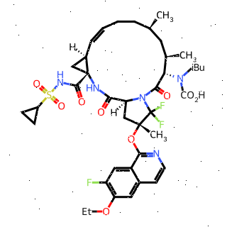 CCOc1cc2ccnc(O[C@]3(C)C[C@H]4C(=O)N[C@]5(C(=O)NS(=O)(=O)C6CC6)C[C@H]5/C=C\CC[C@@H](C)C[C@@H](C)[C@H](N(C(=O)O)C(C)CC)C(=O)N4C3(F)F)c2cc1F